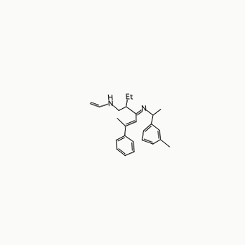 C=CNCC(CC)C(/C=C(\C)c1ccccc1)=N/C(C)c1cccc(C)c1